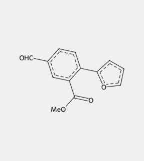 COC(=O)c1cc(C=O)ccc1-c1ccco1